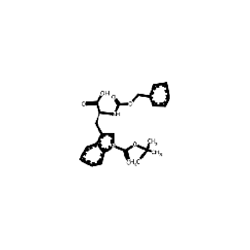 CC(C)(C)OC(=O)n1cc(C[C@H](NC(=O)OCc2ccccc2)C(=O)O)c2ccccc21